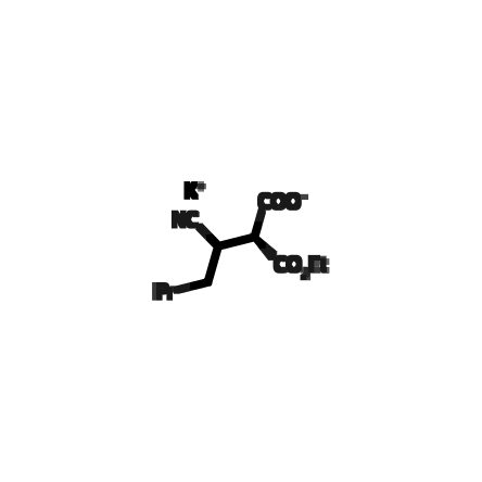 CCOC(=O)[C@H](C(=O)[O-])C(C#N)CC(C)C.[K+]